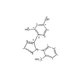 O=C(O)c1ccccc1-n1nccc1-c1ccc(O)cc1O